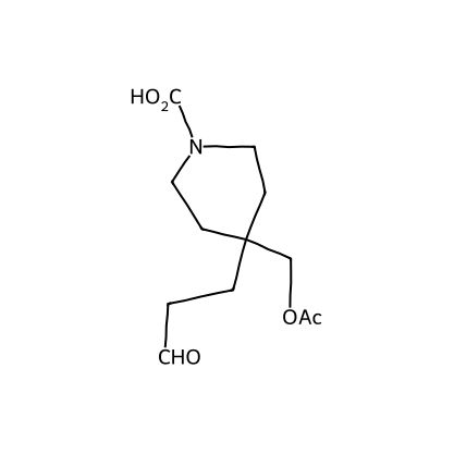 CC(=O)OCC1(CCC=O)CCN(C(=O)O)CC1